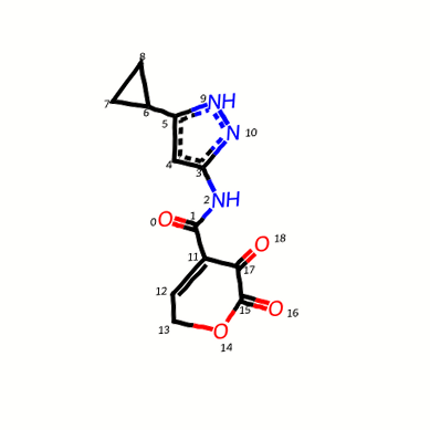 O=C(Nc1cc(C2CC2)[nH]n1)C1=CCOC(=O)C1=O